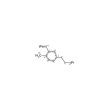 CCCC(C)c1cc(CCC(C)C)ccc1C